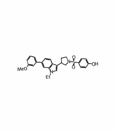 CCn1cc(C2CCN(S(=O)(=O)c3ccc(O)cc3)C2)c2ccc(-c3cccc(OC)c3)cc21